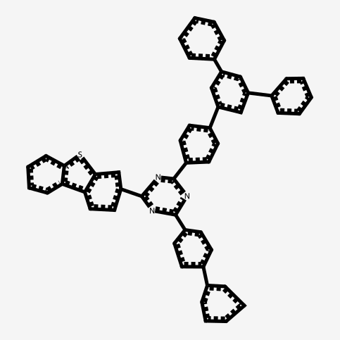 c1ccc(-c2ccc(-c3nc(-c4ccc(-c5cc(-c6ccccc6)cc(-c6ccccc6)c5)cc4)nc(-c4ccc5c(c4)sc4ccccc45)n3)cc2)cc1